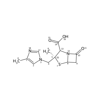 Cc1cn(C[C@]2(C)SC3CC(=O)N3C2C(=O)O)cn1